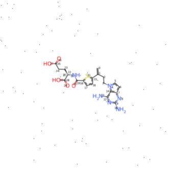 C=C(CCn1ccc2nc(N)nc(N)c21)c1ccc(C(=O)N[C@H](CCC(=O)O)C(=O)O)s1